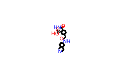 O=C(Cc1ccc2c(c1)B(O)ONC2=O)Nc1ccc2cnccc2c1